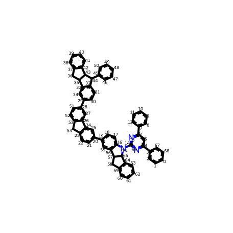 c1ccc(-c2cc(-c3ccccc3)nc(N3c4ccc(-c5ccc6c(c5)-c5cc(-c7ccc8c(c7)C7Cc9ccccc9C7C8c7ccccc7)ccc5C6)cc4C4Cc5ccccc5C43)n2)cc1